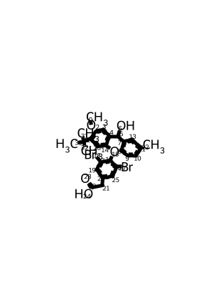 COc1cc(C(O)c2cccc(C)c2)c(Oc2c(Br)cc(CC(=O)O)cc2Br)cc1C(C)(C)C